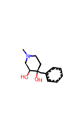 CN1CCC(O)(c2ccccc2)C(O)C1